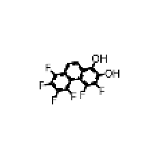 Oc1c(F)c(F)c2c(ccc3c(F)c(F)c(F)c(F)c32)c1O